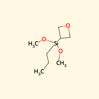 CCC[Si](OC)(OC)C1COC1